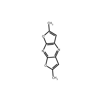 Cc1cc2nc3cc(C)oc3nc2o1